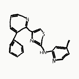 Cc1ccnc(Nc2nc(-c3ncccc3-c3ccccc3)cs2)c1